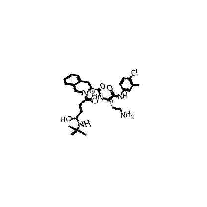 Cc1cc(NC(=O)[C@H](CCN)NC(=O)[C@@H]2Cc3ccccc3CN2C(=O)CCC(O)NC(C)(C)C)ccc1Cl